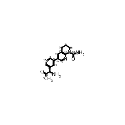 CC(=O)C(N)c1cncc(-c2cnc3c(c2)CCCN3C(N)=O)c1